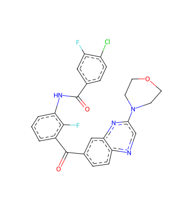 O=C(Nc1cccc(C(=O)c2ccc3ncc(N4CCOCC4)nc3c2)c1F)c1ccc(Cl)c(F)c1